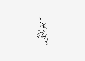 COc1ccc(Cl)cc1CNC(=O)[C@H]1CCCN1C(=O)[C@H]1CCCN(S(=O)(=O)N2CC(C#N)C2)C1